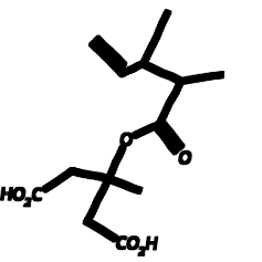 C=CC(C)C(C)C(=O)OC(C)(CC(=O)O)CC(=O)O